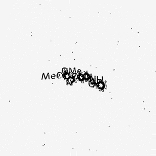 COc1cc2nccc(Oc3ccc4cc(NC(=O)C5CCCCC5)ccc4c3)c2cc1OC